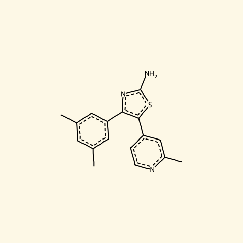 Cc1cc(C)cc(-c2nc(N)sc2-c2ccnc(C)c2)c1